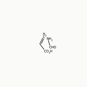 C=CC(=O)O.NC=O